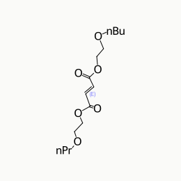 CCCCOCCOC(=O)/C=C/C(=O)OCCOCCC